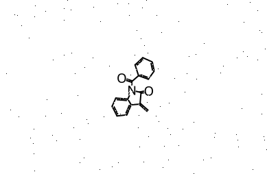 C=C1C(=O)N(C(=O)c2ccccc2)c2ccccc21